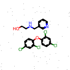 Clc1ccc(Oc2ccc(Cl)cc2Cl)c(Cl)c1.OCCNCc1cccnc1